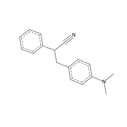 CN(C)c1ccc(CC(C#N)c2ccccc2)cc1